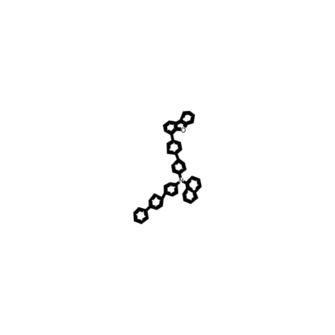 c1ccc(-c2ccc(-c3ccc(N(c4ccc(-c5ccc(-c6cccc7c6oc6ccccc67)cc5)cc4)c4cccc5ccccc45)cc3)cc2)cc1